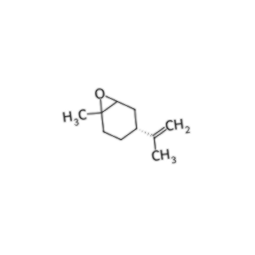 C=C(C)[C@@H]1CCC2(C)OC2C1